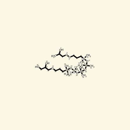 CC(O)COOCCC[Si](C)(C)O[Si](C)(C)O[Si](C)(C)O[Si](C)(C)O[Si](C)(C)CCCOCC(O)CO